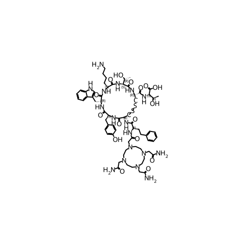 C[C@@H](O)[C@H](NC(=O)[C@@H]1CSSC[C@H](NC(=O)[C@@H](CCc2ccccc2)NC(=O)CN2CCN(CC(N)=O)CCN(CC(N)=O)CCN(CC(N)=O)CC2)C(=O)N[C@@H](Cc2ccc(O)cc2)C(=O)N[C@H](Cc2c[nH]c3ccccc23)C(=O)N[C@@H](CCCCN)C(=O)N[C@@H]([C@@H](C)O)C(=O)N1)C(=O)O